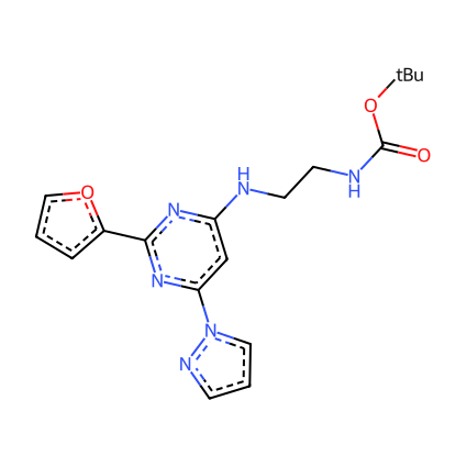 CC(C)(C)OC(=O)NCCNc1cc(-n2cccn2)nc(-c2ccco2)n1